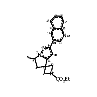 CCOC(=O)N1CC2(CC(C)n3nc(-c4cnc5ccccc5c4)cc32)C1